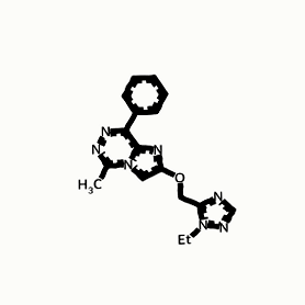 CCn1ncnc1COc1cn2c(C)nnc(-c3ccccc3)c2n1